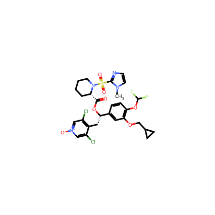 Cn1ccnc1S(=O)(=O)N1CCCC[C@H]1C(=O)O[C@@H](Cc1c(Cl)c[n+]([O-])cc1Cl)c1ccc(OC(F)F)c(OCC2CC2)c1